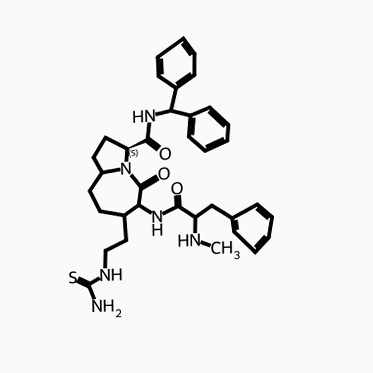 CNC(Cc1ccccc1)C(=O)NC1C(=O)N2C(CCC1CCNC(N)=S)CC[C@H]2C(=O)NC(c1ccccc1)c1ccccc1